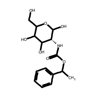 CC(OC(=O)N[C@H]1C(O)OC(CO)C(O)C1O)c1ccccc1